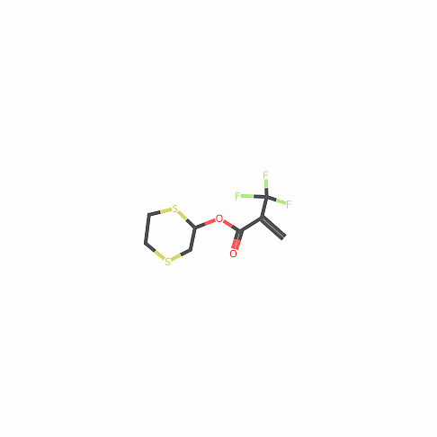 C=C(C(=O)OC1CSCCS1)C(F)(F)F